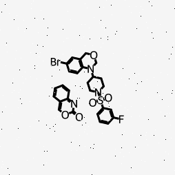 O=S(=O)(c1cccc(F)c1)N1CCC(N2COCc3cc(Br)ccc32)CC1.O=c1nc2ccccc2co1